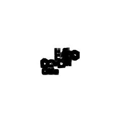 COc1cccc2c1CN(C1CCc3nn(-c4ccccc4Cl)c(C)c3[C@H]1C)C2